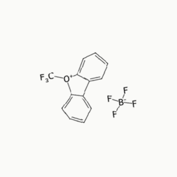 FC(F)(F)[o+]1c2ccccc2c2ccccc21.F[B-](F)(F)F